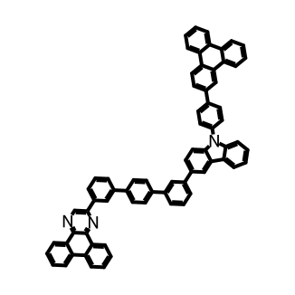 c1cc(-c2ccc(-c3cccc(-c4cnc5c6ccccc6c6ccccc6c5n4)c3)cc2)cc(-c2ccc3c(c2)c2ccccc2n3-c2ccc(-c3ccc4c5ccccc5c5ccccc5c4c3)cc2)c1